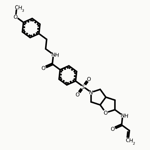 C=CC(=O)NC1CC2CN(S(=O)(=O)c3ccc(C(=O)NCCc4ccc(OC)cc4)cc3)CC2O1